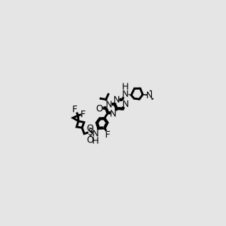 CC(C)n1c(=O)c(-c2ccc(NS(=O)(=O)CC3CC4(C3)CC4(F)F)c(F)c2)nc2cnc(N[C@H]3CC[C@H](N(C)C)CC3)nc21